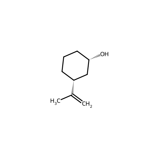 C=C(C)[C@@H]1CCC[C@H](O)C1